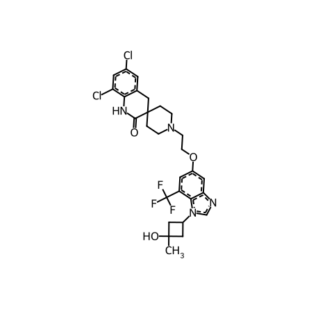 CC1(O)CC(n2cnc3cc(OCCN4CCC5(CC4)Cc4cc(Cl)cc(Cl)c4NC5=O)cc(C(F)(F)F)c32)C1